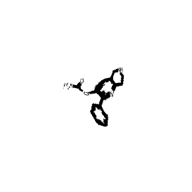 NC(=O)Oc1cc2c(nc1-c1ccccc1)CCNC2